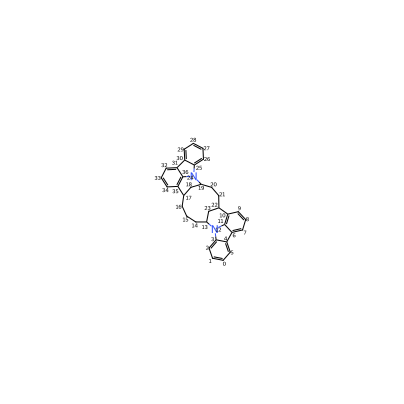 c1ccc2c(c1)c1cccc3c1n2C1CCCC2CC(CCC3C1)n1c3ccccc3c3cccc2c31